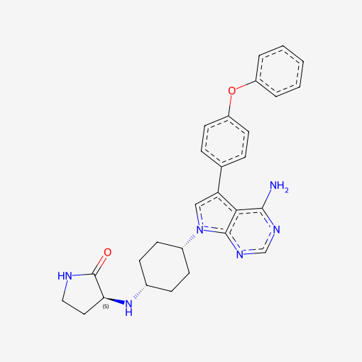 Nc1ncnc2c1c(-c1ccc(Oc3ccccc3)cc1)cn2[C@H]1CC[C@@H](N[C@H]2CCNC2=O)CC1